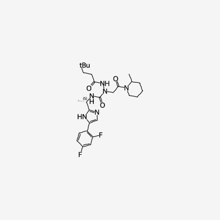 CC1CCCCN1C(=O)CN(NC(=O)CCC(C)(C)C)C(=O)N[C@@H](C)c1ncc(-c2ccc(F)cc2F)[nH]1